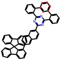 c1ccc(-c2ccccc2-c2nc(-c3ccc4cc(-c5cccc6c5C5(c7ccccc7-c7ccccc75)c5ccccc5-6)ccc4c3)nc(-c3ccccc3-c3ccccc3)n2)cc1